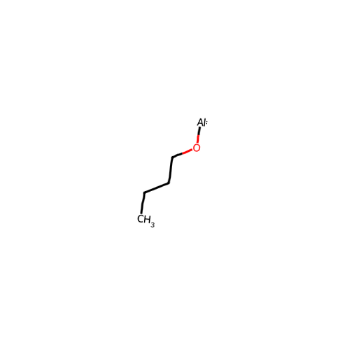 CCCC[O][Al]